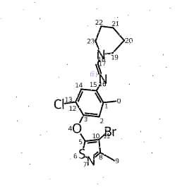 Cc1cc(Oc2snc(C)c2Br)c(Cl)cc1/N=C/N1CCCCC1